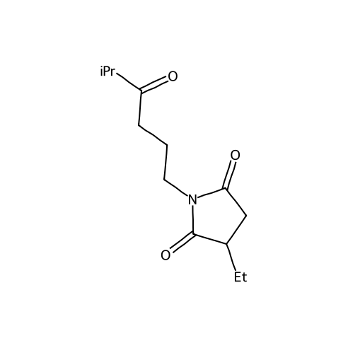 CCC1CC(=O)N(CCCC(=O)C(C)C)C1=O